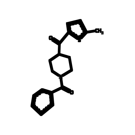 Cc1ccc(C(=O)C2CCN(C(=O)c3ccccc3)CC2)s1